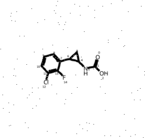 O=C(O)NC1CC1c1cccc(Cl)c1F